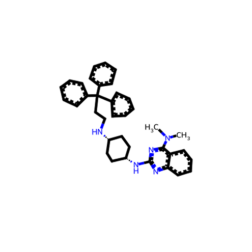 CN(C)c1nc(N[C@H]2CC[C@@H](NCCC(c3ccccc3)(c3ccccc3)c3ccccc3)CC2)nc2ccccc12